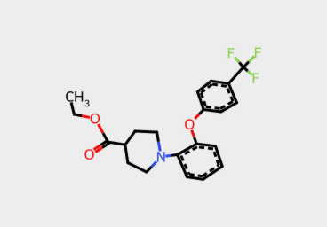 CCOC(=O)C1CCN(c2ccccc2Oc2ccc(C(F)(F)F)cc2)CC1